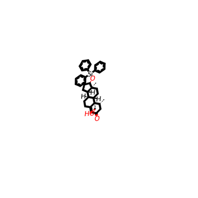 C[C@@H]1CC(=O)C=C2CC[C@H]3[C@@H]4CC[C@H](O[Si](c5ccccc5)(c5ccccc5)c5ccccc5)[C@@]4(C)CC[C@@H]3[C@]21CO